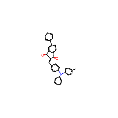 Cc1ccc(N(c2ccccc2)c2ccc(/C=C3\C(=O)c4ccc(-c5ccccc5)cc4C3=O)cc2)cc1